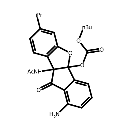 CCCCOC(=O)OC12Oc3cc(C(C)C)ccc3C1(NC(C)=O)C(=O)c1c(N)cccc12